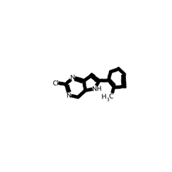 CC1=C(C2=CC3=NC(Cl)=NCC3N2)CCC=C1